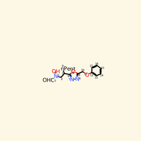 CCCCCC(CN(O)C=O)c1nnc(COc2ccccc2)o1